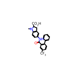 CN1c2ccc(NC(=O)c3cc(C(F)(F)F)ccc3-c3ccccc3)cc2CC1C(=O)O